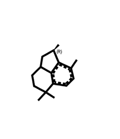 Cc1ccc2c3c1[C@H](C)CC3CCC2(C)C